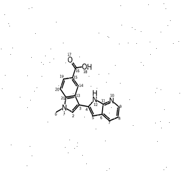 Cn1cc(-c2cc3cccnc3[nH]2)c2cc(C(=O)O)ccc21